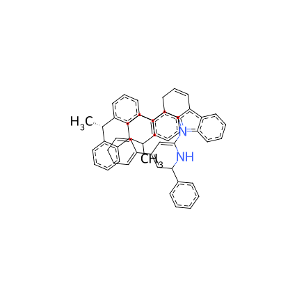 CC1C=C(C2CC=Cc3c2n(C2=CC(C4=CCCC=C4)=CC(c4ccccc4)N2)c2ccccc32)CCC1c1ccccc1[C@H](C)c1cccc(-c2ccccc2)c1